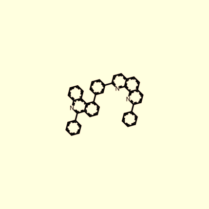 c1ccc(-c2ccc3ccc4ccc(-c5cccc(-c6cccc7c(-c8ccccc8)nc8ccccc8c67)c5)nc4c3n2)cc1